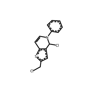 ClCc1cc2c(s1)C=CN(c1ccccc1)C2Cl